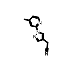 Cc1ccnc(-n2cc(CC#N)cn2)c1